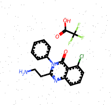 NCCc1nc2cccc(Cl)c2c(=O)n1-c1ccccc1.O=C(O)C(F)(F)F